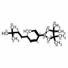 C/C=C(\C=C/CCCC(C)(C)O)B1OC(C)(C)C(C)(C)O1